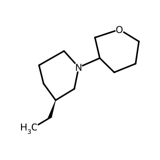 CC[C@H]1CCCN(C2CCCOC2)C1